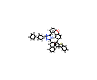 C1=CC2Oc3ccc(-c4cccc5c4sc4ccccc45)cc3C2C(c2nc(-c3ccc(-c4ccccc4)cc3)nc(-c3ccc4ccccc4c3)n2)=C1